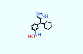 ONc1cccc(C(=C2CCCCC2)c2cnc[nH]2)c1